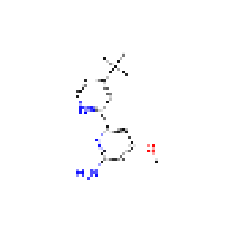 COc1cc(N)nc(-c2cc(C(C)(C)C)ccn2)c1